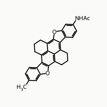 CC(=O)Nc1ccc2c(c1)oc1c3c4c(c5c(oc6cc(C)ccc65)c5c4c(c12)CCC5)CCC3